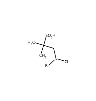 CC(C)(CN(Cl)Br)S(=O)(=O)O